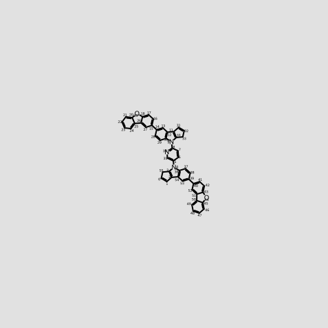 C1=Cc2c(n(-c3ccc(-n4c5c(c6cc(-c7ccc8oc9ccccc9c8c7)ccc64)C=CC5)nc3)c3ccc(-c4ccc5oc6ccccc6c5c4)cc23)C1